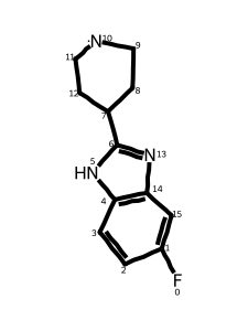 Fc1ccc2[nH]c(C3CC[N]CC3)nc2c1